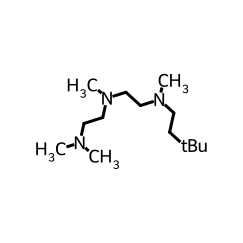 CN(C)CCN(C)CCN(C)CCC(C)(C)C